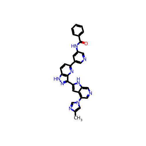 Cc1cn(-c2cncc3[nH]c(-c4n[nH]c5ccc(-c6cncc(NC(=O)c7ccccc7)c6)nc45)cc23)cn1